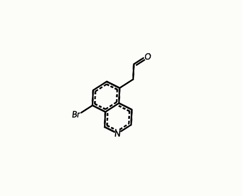 O=CCc1ccc(Br)c2cnccc12